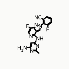 Cc1nc(N)cc(Nc2ncc(F)c3nn(-c4c(F)cccc4C#N)cc23)n1